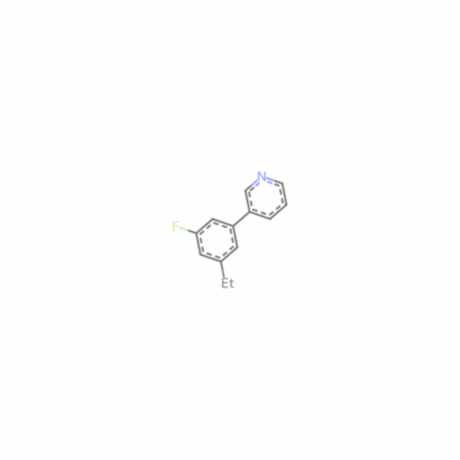 CCc1cc(F)cc(-c2cccnc2)c1